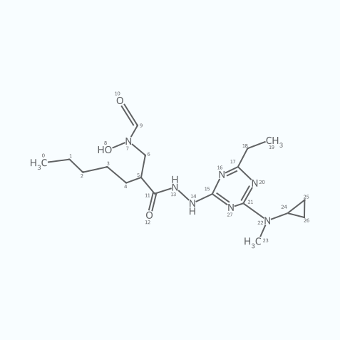 CCCCCC(CN(O)C=O)C(=O)NNc1nc(CC)nc(N(C)C2CC2)n1